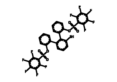 O=S(=O)(Oc1ccccc1-c1cccc(S)c1-c1ccccc1OS(=O)(=O)c1c(F)c(F)c(F)c(F)c1F)c1c(F)c(F)c(F)c(F)c1F